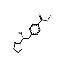 COC(=O)c1ccc(C[C@@H](O)[C@@H]2CCCN2)cc1